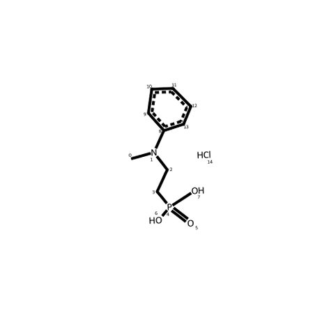 CN(CCP(=O)(O)O)c1ccccc1.Cl